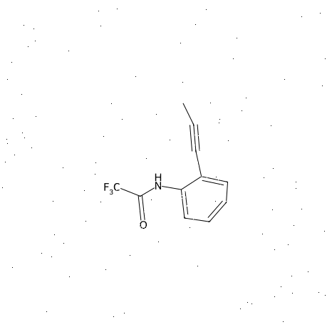 CC#Cc1ccccc1NC(=O)C(F)(F)F